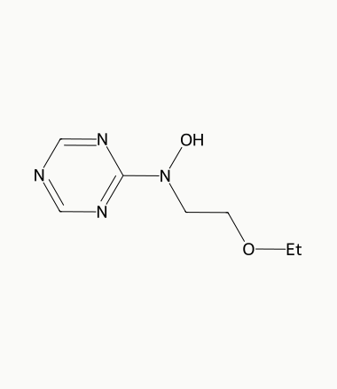 CCOCCN(O)c1ncncn1